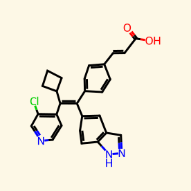 O=C(O)C=Cc1ccc(C(=C(c2ccncc2Cl)C2CCC2)c2ccc3[nH]ncc3c2)cc1